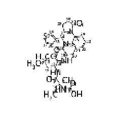 CC[C@](C)(NC(=O)O)C(=O)N[C@H](CC(C)C)C(=O)NC1Cc2cccc(N3CCCC3=O)c2N(Cc2ccsc2)C1=O